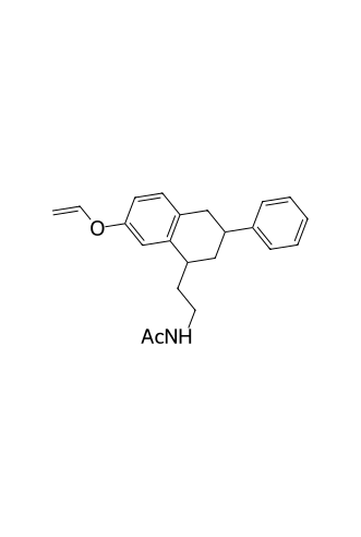 C=COc1ccc2c(c1)C(CCNC(C)=O)CC(c1ccccc1)C2